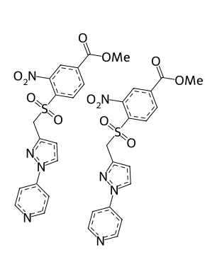 COC(=O)c1ccc(S(=O)(=O)Cc2ccn(-c3ccncc3)n2)c([N+](=O)[O-])c1.COC(=O)c1ccc(S(=O)(=O)Cc2ccn(-c3ccncc3)n2)c([N+](=O)[O-])c1